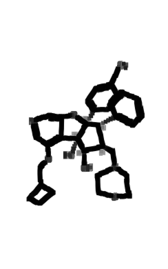 N#Cc1ccc([C@@]23Oc4cncc(OCC5CCC5)c4[C@]2(O)[C@H](O)[C@H](CN2CCOCC2)[C@H]3c2ccccc2)cc1